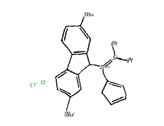 CC(C)[Si](C(C)C)=[Zr+2]([C]1=CC=CC1)[CH]1c2cc(C(C)(C)C)ccc2-c2ccc(C(C)(C)C)cc21.[Cl-].[Cl-]